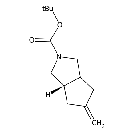 C=C1CC2CN(C(=O)OC(C)(C)C)C[C@H]2C1